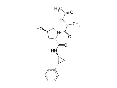 CC(=O)NC(C)C(=O)N1C[C@H](O)C[C@H]1C(=O)N[C@H]1C[C@@H]1c1ccccc1